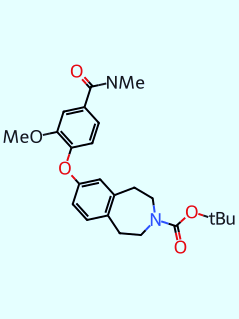 CNC(=O)c1ccc(Oc2ccc3c(c2)CCN(C(=O)OC(C)(C)C)CC3)c(OC)c1